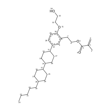 C=C(C)C(=O)OCCc1cc(C2CCC(C3CCC(CCCCC)CC3)CC2)ccc1OCCO